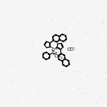 [CH3][Ge]([c]1ccccc1)=[Zr+2]([C]1=C(c2ccc3ccccc3c2)C=CC1)[C]1=C(c2ccc3ccccc3c2)C=CC1.[Cl-].[Cl-]